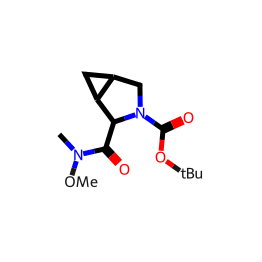 CON(C)C(=O)C1C2CC2CN1C(=O)OC(C)(C)C